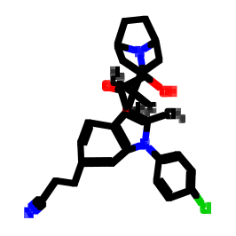 Cc1c(C(=O)CN2C3CCC2CC(O)(C(C)(C)C)C3)c2ccc(CCC#N)cc2n1-c1ccc(Cl)cc1